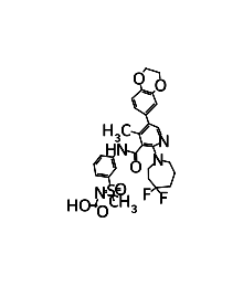 Cc1c(-c2ccc3c(c2)OCCO3)cnc(N2CCCC(F)(F)CC2)c1C(=O)Nc1cccc(S(C)(=O)=NC(=O)O)c1